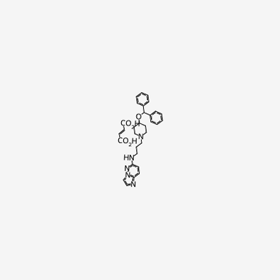 O=C(O)/C=C/C(=O)O.c1ccc(C(OC2CCN(CCCNc3ccc4nccn4n3)CC2)c2ccccc2)cc1